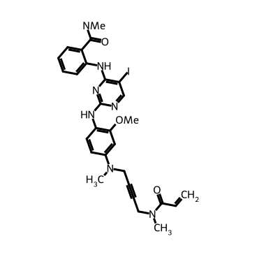 C=CC(=O)N(C)CC#CCN(C)c1ccc(Nc2ncc(I)c(Nc3ccccc3C(=O)NC)n2)c(OC)c1